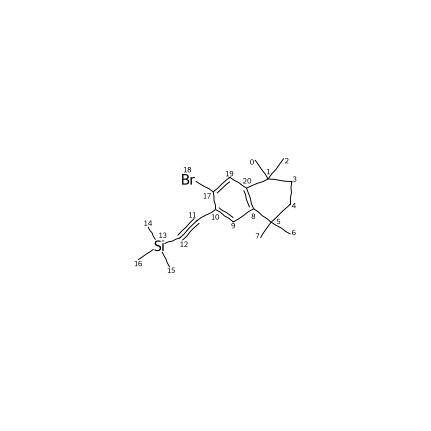 CC1(C)CCC(C)(C)c2cc(C#C[Si](C)(C)C)c(Br)cc21